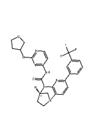 O=C(Nc1ccnc(OC2CCOC2)n1)N1c2nc(-c3cccc(C(F)(F)F)c3)ccc2N2CC[C@H]1C2